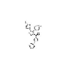 O=C(c1cnn(-c2ccc(F)cc2)c1C1CCNCC1)N1CCC(c2ccccc2)C1